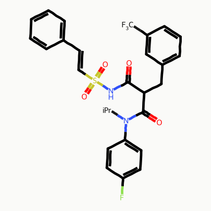 CC(C)N(C(=O)C(Cc1cccc(C(F)(F)F)c1)C(=O)NS(=O)(=O)C=Cc1ccccc1)c1ccc(F)cc1